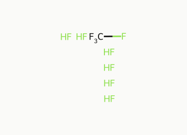 F.F.F.F.F.F.FC(F)(F)F